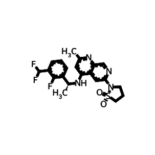 Cc1cc(N[C@H](C)c2cccc(C(F)F)c2F)c2cc(N3CCCS3(=O)=O)ncc2n1